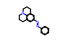 c1ccc(N=Nc2cc3c4c(c2)CCCN4CCC3)cc1